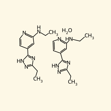 CCNc1cc(-c2nc(CC)n[nH]2)ccn1.CCNc1cc(-c2nc(CC)n[nH]2)ccn1.O